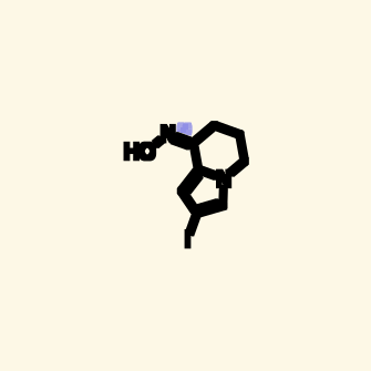 O/N=C1/CCCn2cc(I)cc21